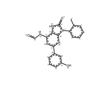 Cc1ccccc1-n1c(=O)[nH]c2c(N[C]=O)nc(-c3cccc(O)c3)nc21